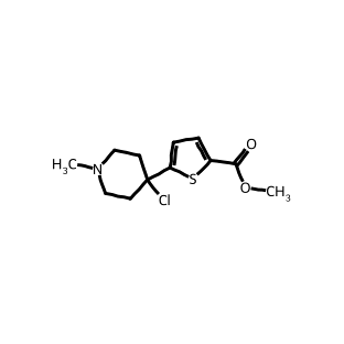 COC(=O)c1ccc(C2(Cl)CCN(C)CC2)s1